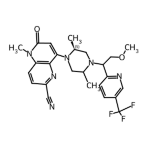 COCC(c1ccc(C(F)(F)F)cn1)N1C[C@H](C)N(c2cc(=O)n(C)c3ccc(C#N)nc23)CC1C